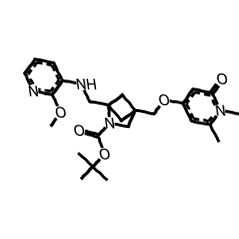 COc1ncccc1NCC12CC(COc3cc(C)n(C)c(=O)c3)(CN1C(=O)OC(C)(C)C)C2